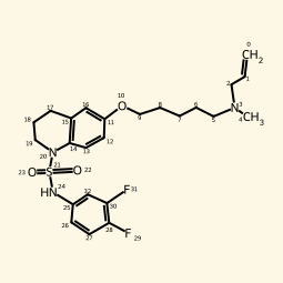 C=CCN(C)CCCCCOc1ccc2c(c1)CCCN2S(=O)(=O)Nc1ccc(F)c(F)c1